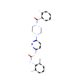 Cc1cccc(Cl)c1NC(=O)Oc1ccc(N2CCN(C(=O)c3ccccc3C(F)(F)F)CC2)nn1